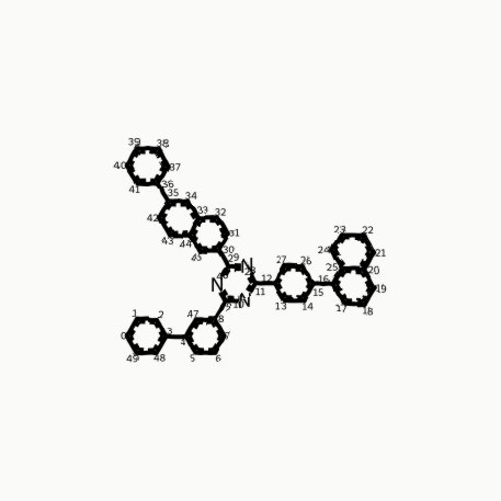 c1ccc(-c2cccc(-c3nc(-c4ccc(-c5cccc6ccccc56)cc4)nc(-c4ccc5cc(-c6ccccc6)ccc5c4)n3)c2)cc1